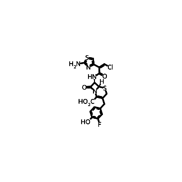 Nc1nc(/C(=C/Cl)C(=O)N[C@@H]2C(=O)N3C(C(=O)O)=C(Cc4ccc(O)c(F)c4)CS[C@@H]23)cs1